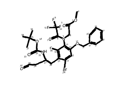 COC(=O)CN(C(=O)C(F)(F)F)c1c(OCc2ccccc2)cc(Br)c(CC(CC=O)NC(=O)OC(C)(C)C)c1F